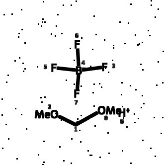 COCOC.F[B-](F)(F)F.[H+]